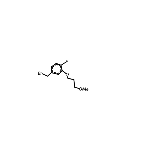 COCCCOc1cc(CBr)ccc1F